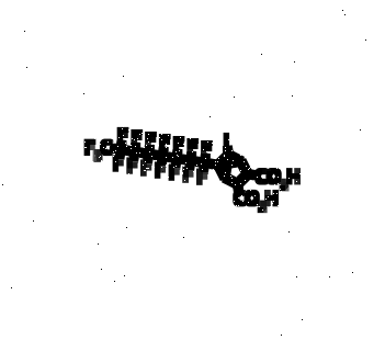 O=C(O)C1C2CC(C1C(=O)O)C(C(F)(F)C(F)(F)C(F)(F)C(F)(F)C(F)(F)C(F)(F)C(F)(F)C(F)(F)F)C2I